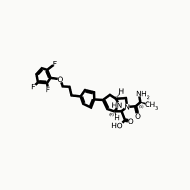 C[C@H](N)C(=O)N1C[C@@H]2CC(c3ccc(CCCOc4c(F)ccc(F)c4F)cc3)=C[C@@H](N2)C1C(=O)O